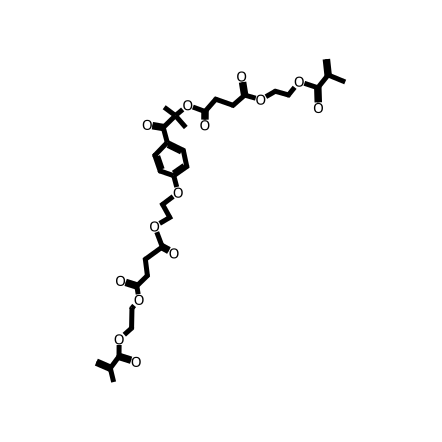 C=C(C)C(=O)OCCOC(=O)CCC(=O)OCCOc1ccc(C(=O)C(C)(C)OC(=O)CCC(=O)OCCOC(=O)C(=C)C)cc1